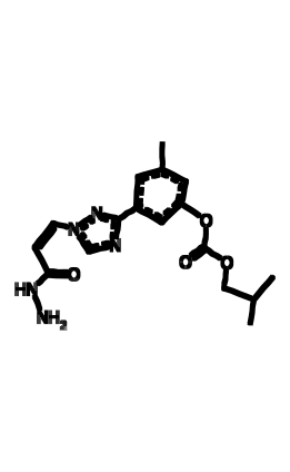 Cc1cc(OC(=O)OCC(C)C)cc(-c2ncn(/C=C\C(=O)NN)n2)c1